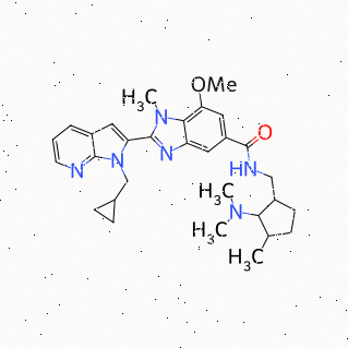 COc1cc(C(=O)NCC2CCC(C)C2N(C)C)cc2nc(-c3cc4cccnc4n3CC3CC3)n(C)c12